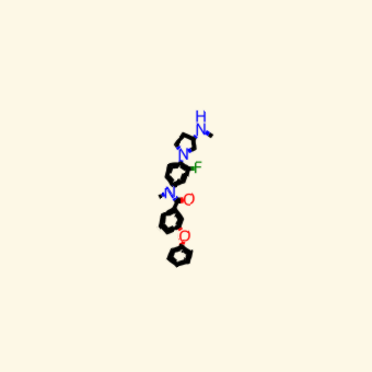 CNC1CCN(c2ccc(N(C)C(=O)c3cccc(Oc4ccccc4)c3)cc2F)C1